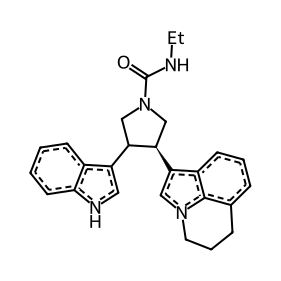 CCNC(=O)N1CC(c2c[nH]c3ccccc23)[C@H](c2cn3c4c(cccc24)CCC3)C1